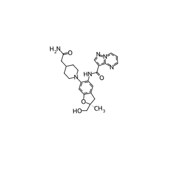 C[C@@]1(CO)Cc2cc(NC(=O)c3cnn4cccnc34)c(N3CCC(CC(N)=O)CC3)cc2O1